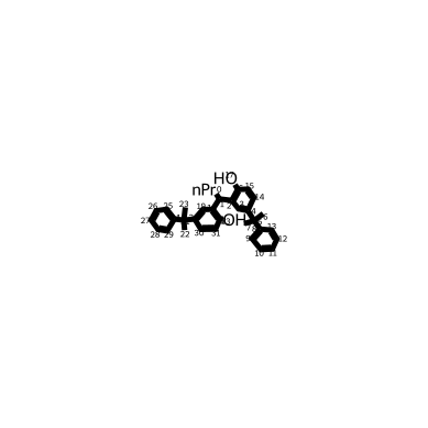 CCCC(c1cc(C(C)(C)c2ccccc2)ccc1O)c1cc(C(C)(C)c2ccccc2)ccc1O